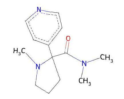 CN(C)C(=O)C1(c2ccncc2)CCCN1C